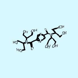 O=C(c1cnc(C(=O)N(C(CO)CO)C(CO)CO)cn1)N(C(CO)CO)C(CO)CO